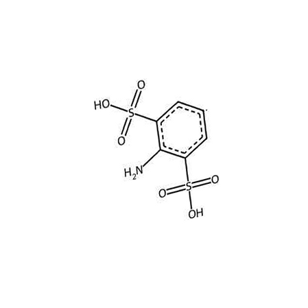 Nc1c(S(=O)(=O)O)c[c]cc1S(=O)(=O)O